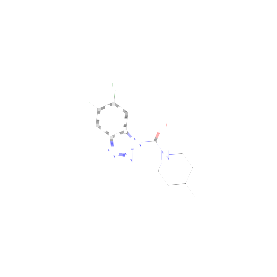 CC1CCN(C(=O)n2nnc3cc(F)c(Cl)cc32)CC1